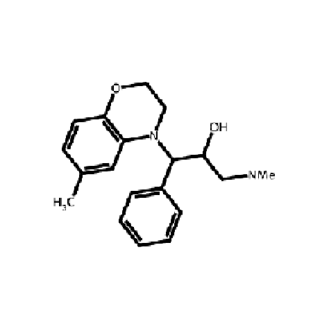 CNCC(O)C(c1ccccc1)N1CCOc2ccc(C)cc21